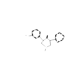 COc1cccc(C2CN(C)CC(c3ccccc3)C2=O)c1